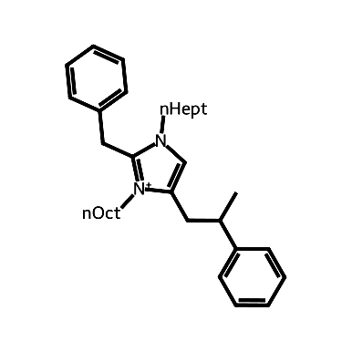 CCCCCCCC[n+]1c(CC(C)c2ccccc2)cn(CCCCCCC)c1Cc1ccccc1